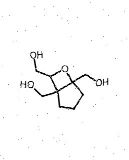 OCC1OC2(CO)CCCC12CO